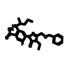 CCCC(C)Nc1cc(-n2nc(COCc3ccccc3)n(CC)c2=O)c(F)cc1C(=O)O